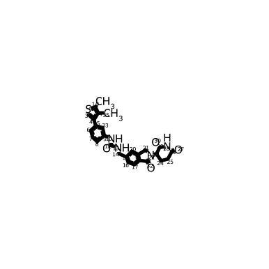 Cc1scc(-c2cccc(NC(=O)NCc3ccc4c(c3)CN(C3CCC(=O)NC3=O)C4=O)c2)c1C